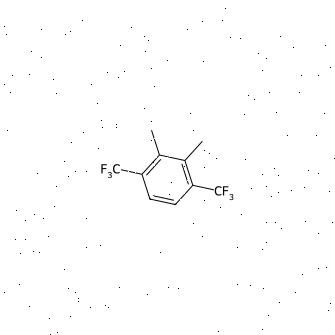 Cc1c(C(F)(F)F)ccc(C(F)(F)F)c1C